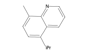 Cc1ccc(C(C)C)c2cccnc12